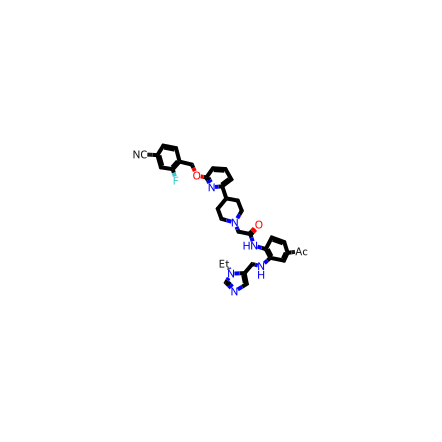 CCn1cncc1CNc1cc(C(C)=O)ccc1NC(=O)CN1CCC(c2cccc(OCc3ccc(C#N)cc3F)n2)CC1